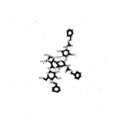 CN1C2C(O[C@H]3OC(CO)[C@@H](NCc4ccccc4)C(O)C3O)O[C@H]3C[C@H](NC(=O)OCc4ccccc4)[C@@H](O[C@@H]4C(N)C[C@@H](NC(=O)OCc5ccccc5)C(O)[C@H]4O)OC3C2O[C@@H]1O